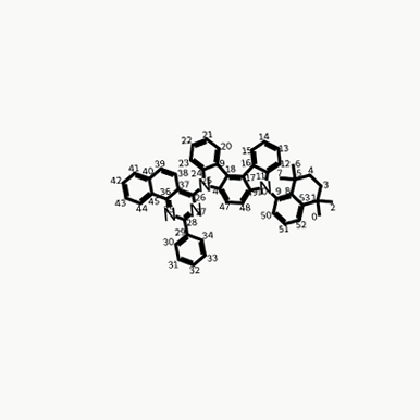 CC1(C)CCC(C)(C)c2c(-n3c4ccccc4c4c5c6ccccc6n(-c6nc(-c7ccccc7)nc7c6ccc6ccccc67)c5ccc43)cccc21